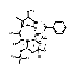 CC[Si](CC)(CC)OC1C[C@H]2OC[C@@]2(OC(C)=O)[C@H]2[C@H](OC(=O)c3ccccc3)[C@@]3(O)CC(=C(C)C(OC)C3)[C@H](O)[C@H](O)[C@]12C